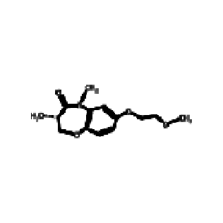 COCCOc1ccc2c(c1)N(C)C(=O)[C@@H](C)CO2